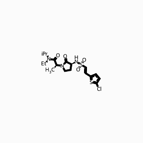 CCN(C(=O)[C@H](C)N1CC[C@H](NS(=O)(=O)C=Cc2ccc(Cl)s2)C1=O)C(C)C